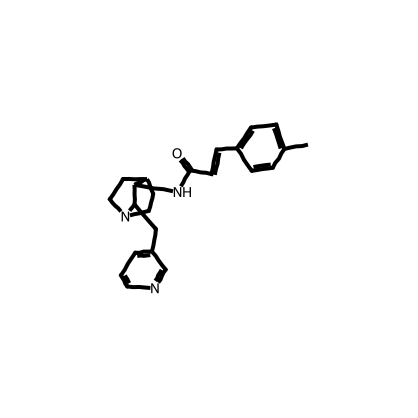 Cc1ccc(C=CC(=O)NC2C3CCN(CC3)C2Cc2cccnc2)cc1